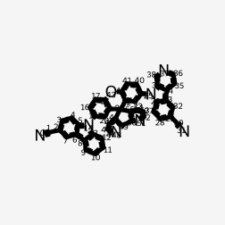 N#Cc1ccc2c(c1)c1ccccc1n2-c1ccc2c(c1)C1(c3cc(-n4c5ccc(C#N)cc5c5ccncc54)ccc3O2)c2cccnc2-c2ncccc21